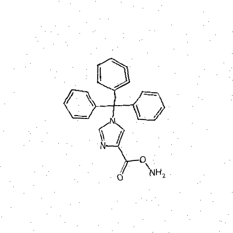 NOC(=O)c1cn(C(C2=C=C=CC=C2)(c2ccccc2)c2ccccc2)cn1